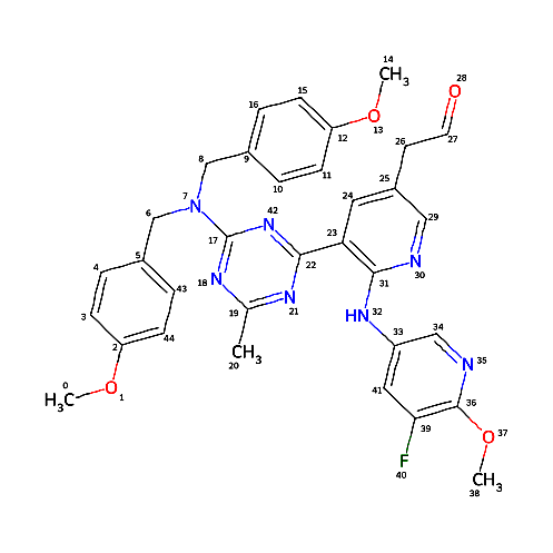 COc1ccc(CN(Cc2ccc(OC)cc2)c2nc(C)nc(-c3cc(CC=O)cnc3Nc3cnc(OC)c(F)c3)n2)cc1